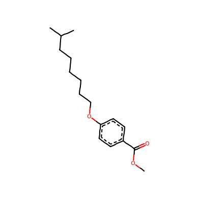 COC(=O)c1ccc(OCCCCCCC(C)C)cc1